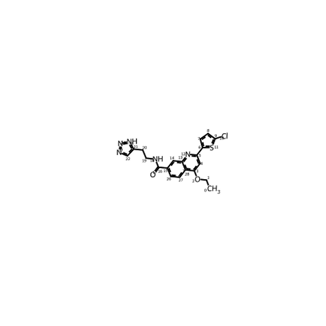 CCOc1cc(-c2ccc(Cl)s2)nc2cc(C(=O)NCCc3cnn[nH]3)ccc12